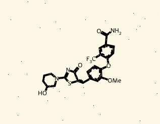 COc1cc(C=C2SC(N3CCCC(O)C3)=NC2=O)ccc1Oc1ccc(C(N)=O)cc1C(F)(F)F